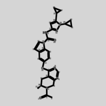 CC(=O)N1Cc2ncnc(Oc3ccc4c(ccn4C(=O)Nc4cc(C5CC5)n(C5CC5)n4)c3)c2C[C@@H]1C